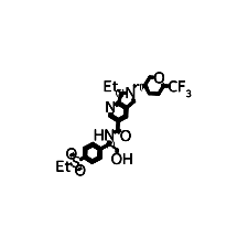 CC[C@H]1c2ncc(C(=O)N[C@@H](CO)c3ccc(S(=O)(=O)CC)cc3)cc2CN1C[C@H]1CCC(C(F)(F)F)OC1